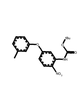 Cc1cccc(Oc2ccc([N+](=O)[O-])c(NC(=O)OC(C)(C)C)c2)c1